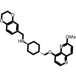 COc1ccc2nccc(OC[C@H]3CC[C@H](NCc4ccc5c(c4)OCCO5)CC3)c2n1